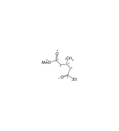 CCC(=O)CC(C)CC(=O)OC